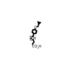 O=C(O)CCc1nc(-c2ccc(OCC3CC3)cc2)no1